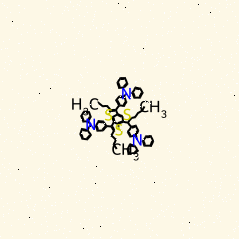 CCCCc1sc2c(c3c(c4sc(CCCC)c(-c5ccc(N(c6ccccc6)c6ccccc6)cc5)c42)C(c2ccc(N(c4ccccc4)c4ccccc4)cc2)C(CCCC)S3)c1-c1ccc(N(c2ccccc2)c2ccccc2)cc1